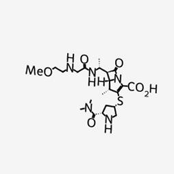 COCCNCC(=O)N[C@H](C)[C@H]1C(=O)N2C(C(=O)O)=C(S[C@@H]3CN[C@H](C(=O)N(C)C)C3)[C@H](C)[C@H]12